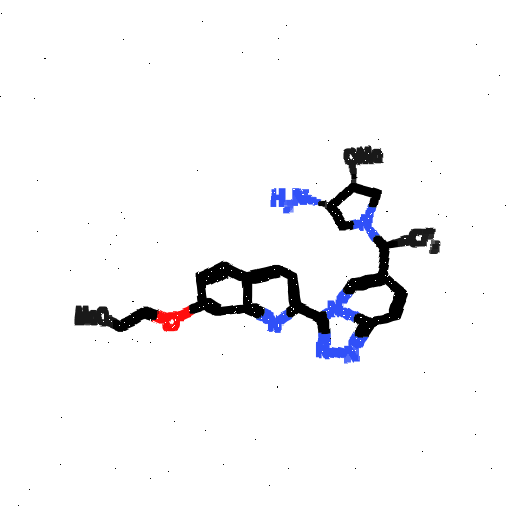 COCCOc1ccc2ccc(-c3nnc4ccc([C@@H](N5C[C@H](N)[C@H](OC)C5)C(F)(F)F)cn34)nc2c1